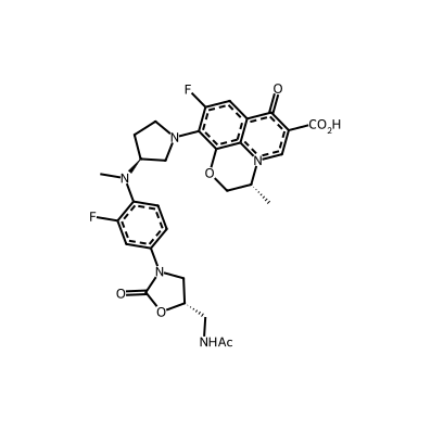 CC(=O)NC[C@H]1CN(c2ccc(N(C)[C@H]3CCN(c4c(F)cc5c(=O)c(C(=O)O)cn6c5c4OC[C@H]6C)C3)c(F)c2)C(=O)O1